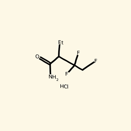 CCC(C(N)=O)C(F)(F)CF.Cl